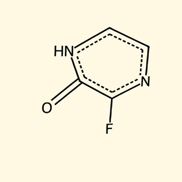 O=c1[nH]ccnc1F